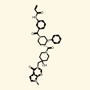 C=CC(=O)Nc1cccc(C(=O)N2CC[C@@H](C(=O)N3CCC(O)(Cn4cnc5c(ccn5C)c4=O)CC3)[C@H](c3ccccc3)C2)c1